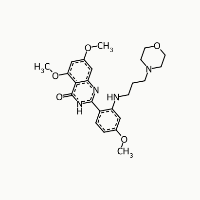 COc1ccc(-c2nc3cc(OC)cc(OC)c3c(=O)[nH]2)c(NCCCN2CCOCC2)c1